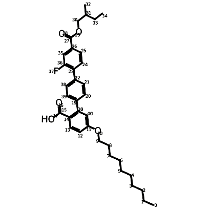 CCCCCCCCCCOc1ccc(C(=O)O)c(-c2ccc(-c3ccc(C(=O)OCC(C)CC)cc3F)cc2)c1